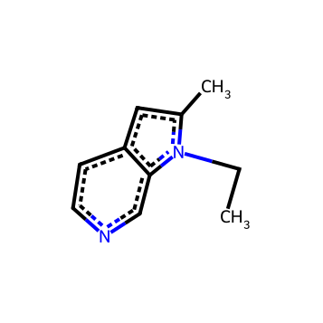 CCn1c(C)cc2ccncc21